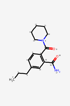 CCCc1ccc(C(=O)N2CCCCC2)c(C(N)=O)c1